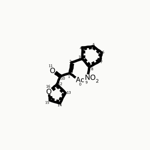 CC(=O)C(=Cc1ccccc1[N+](=O)[O-])C(=O)c1ccco1